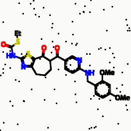 CCSC(=O)Nc1nc2c(s1)C(=O)C(C(=O)c1ccc(NCc3ccc(OC)cc3OC)nc1)CCC2